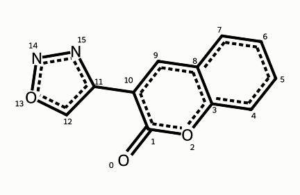 O=c1oc2ccccc2cc1-c1conn1